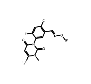 CC(C)O/N=C/c1cc(-n2c(=O)cc(C(F)(F)F)n(C)c2=O)c(F)cc1Cl